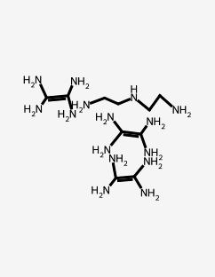 NC(N)=C(N)N.NC(N)=C(N)N.NC(N)=C(N)N.NCCNCCN